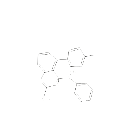 CC(=O)Nc1nc(N(C)c2ccccc2)c2c(-c3ccc(F)cc3)cccc2n1